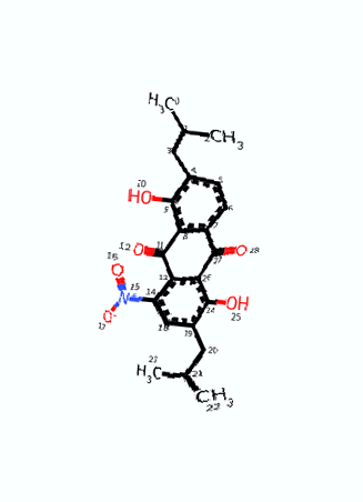 CC(C)Cc1ccc2c(c1O)C(=O)c1c([N+](=O)[O-])cc(CC(C)C)c(O)c1C2=O